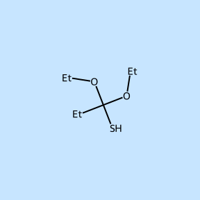 CCOC(S)(CC)OCC